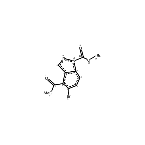 COC(=O)c1c(Br)ccc2c1cnn2C(=O)OC(C)(C)C